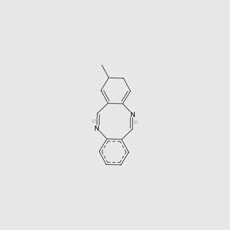 CC1C=C2/C=N\c3ccccc3/C=N\C2=CC1